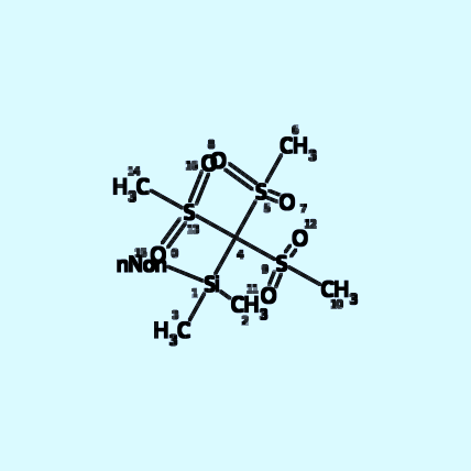 CCCCCCCCC[Si](C)(C)C(S(C)(=O)=O)(S(C)(=O)=O)S(C)(=O)=O